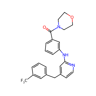 O=C(c1cccc(Nc2cc(Cc3cccc(C(F)(F)F)c3)ccn2)c1)N1CCOCC1